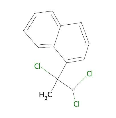 CC(Cl)([C](Cl)Cl)c1cccc2ccccc12